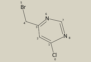 Clc1cc(CBr)ncn1